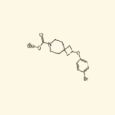 CC(C)(C)OC(=O)N1CCC2(CC1)CC(Oc1ccc(Br)cc1)C2